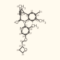 CC#CC(=O)N(c1cc(C)c(I)cc1C1CC1)c1ncc(OC[C@@H]2CCO2)cc1C